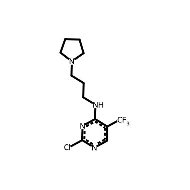 FC(F)(F)c1cnc(Cl)nc1NCCCN1CCCC1